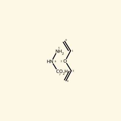 C=COC=C.NNC(=O)O